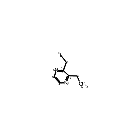 CCc1nccnc1CI